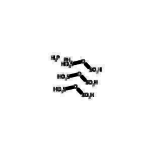 O=S(=O)(O)OS(=O)(=O)O.O=S(=O)(O)OS(=O)(=O)O.O=S(=O)(O)OS(=O)(=O)O.P.P